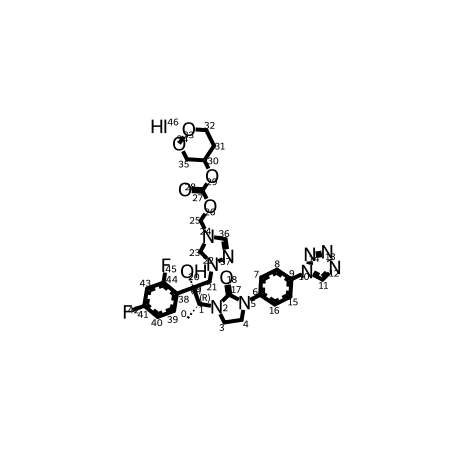 C[C@@H](N1CCN(c2ccc(-n3cnnn3)cc2)C1=O)[C@](O)(CN1CN(COC(=O)OC2CCOOC2)C=N1)c1ccc(F)cc1F.I